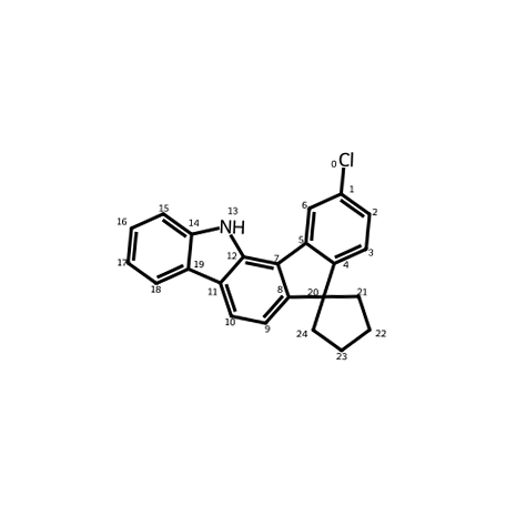 Clc1ccc2c(c1)-c1c(ccc3c1[nH]c1ccccc13)C21CCCC1